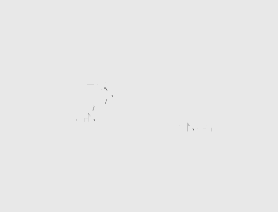 CCCCCCCCCCCCCCCCC(=NO)C(C)=NO